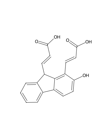 O=C(O)C=Cc1c(O)ccc2c1C(C=CC(=O)O)c1ccccc1-2